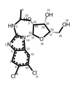 CC(C)Nc1nc2cc(Cl)c(Cl)cc2n1[C@H]1O[C@@H](CO)[C@@H](O)[C@H]1O